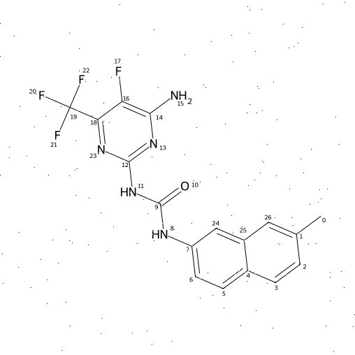 Cc1ccc2ccc(NC(=O)Nc3nc(N)c(F)c(C(F)(F)F)n3)cc2c1